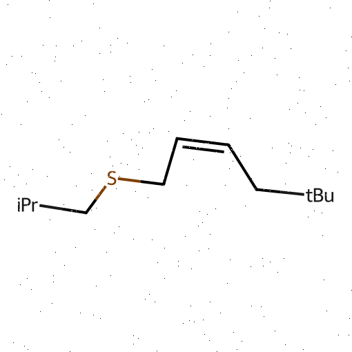 CC(C)CSC/C=C\CC(C)(C)C